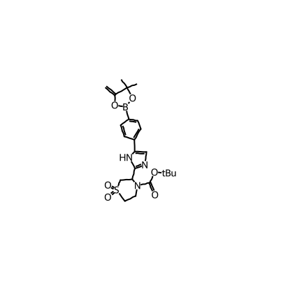 C=C1OB(c2ccc(-c3cnc(C4CS(=O)(=O)CCN4C(=O)OC(C)(C)C)[nH]3)cc2)OC1(C)C